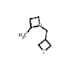 CC1CCN1CC1COC1